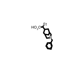 CCC(C(=O)O)C1CC2CC(C1)CN(Cc1ccccc1)C2